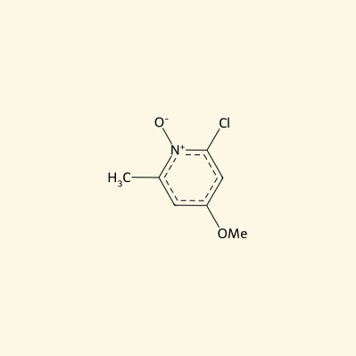 COc1cc(C)[n+]([O-])c(Cl)c1